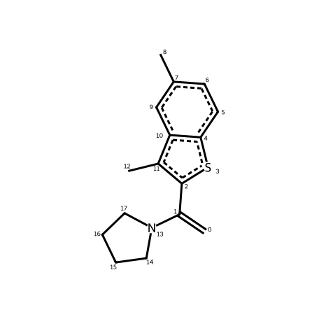 C=C(c1sc2ccc(C)cc2c1C)N1CCCC1